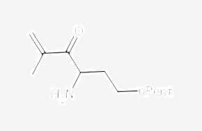 C=C(C)C(=O)C(N)CCCCCCC